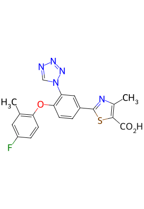 Cc1cc(F)ccc1Oc1ccc(-c2nc(C)c(C(=O)O)s2)cc1-n1cnnn1